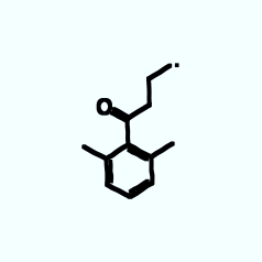 [CH2]CCC(=O)c1c(C)cccc1C